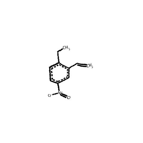 C=Cc1cc([N+](=O)[O-])ccc1CC